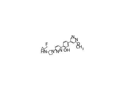 COc1cc(-c2ccc(-c3ccc(N4CCC(NC5(CF)CC5)C4)nn3)c(O)c2)cnn1